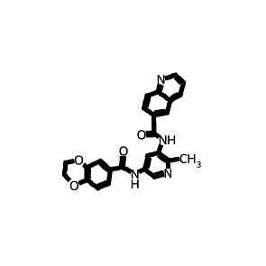 Cc1ncc(NC(=O)c2ccc3c(c2)OCCO3)cc1NC(=O)c1ccc2ncccc2c1